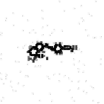 CC1(C)CCSc2ccc(N=Nc3ccc(C(=O)O)cc3)cc21